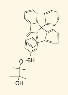 CC(C)(O)C(C)(C)OBc1cccc(-c2ccccc2C2(c3ccccc3)c3ccccc3-c3ccccc32)c1